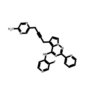 Cc1cnc(CC#CCc2ccn3nc(-c4ccccn4)nc(Nc4ccncc4F)c23)cn1